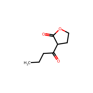 CCCC(=O)C1CCOC1=O